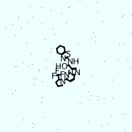 OC(Nc1nc2c(s1)CCCC2)c1cnc2ccc(N3CCCC3C(F)(F)F)nn12